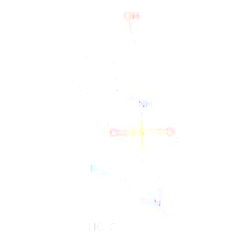 Cn1cc(S(=O)(=O)NC2CCCC2CO)c(F)c1C(=O)O